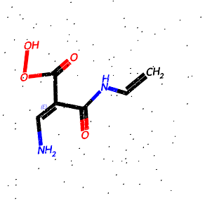 C=CNC(=O)/C(=C\N)C(=O)OO